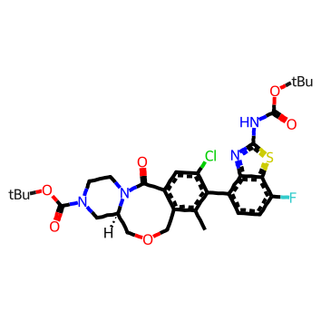 Cc1c2c(cc(Cl)c1-c1ccc(F)c3sc(NC(=O)OC(C)(C)C)nc13)C(=O)N1CCN(C(=O)OC(C)(C)C)C[C@@H]1COC2